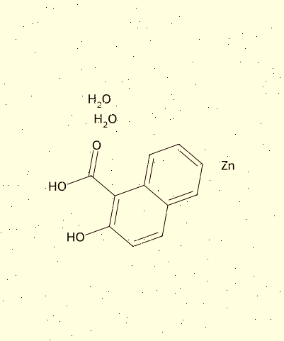 O.O.O=C(O)c1c(O)ccc2ccccc12.[Zn]